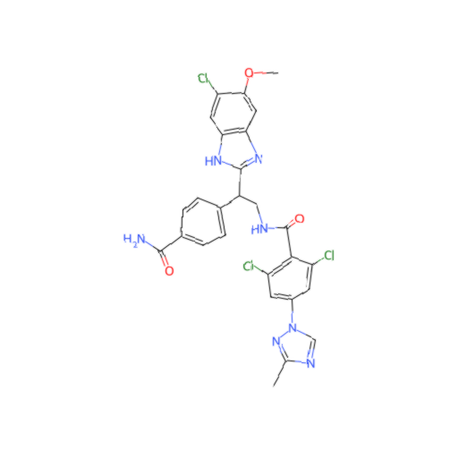 COc1cc2nc(C(CNC(=O)c3c(Cl)cc(-n4cnc(C)n4)cc3Cl)c3ccc(C(N)=O)cc3)[nH]c2cc1Cl